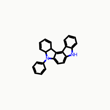 C1=CC2c3c(ccc4[nH]c5ccccc5c34)N(c3ccccc3)C2C=C1